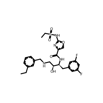 CCc1cccc(CNC[C@H](O)[C@H](Cc2cc(F)cc(F)c2)NC(=O)c2coc(NS(=O)(=O)CC)n2)c1